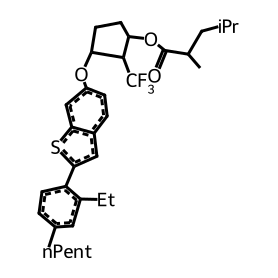 CCCCCc1ccc(-c2cc3ccc(OC4CCC(OC(=O)C(C)CC(C)C)C4C(F)(F)F)cc3s2)c(CC)c1